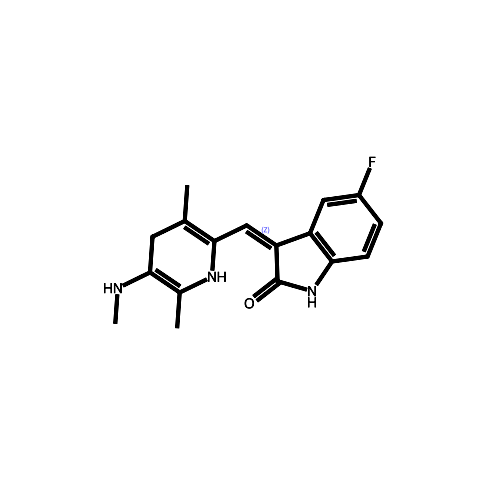 CNC1=C(C)NC(/C=C2\C(=O)Nc3ccc(F)cc32)=C(C)C1